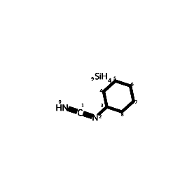 N=C=NC1CCCCC1.[SiH4]